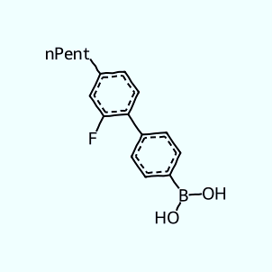 CCCCCc1ccc(-c2ccc(B(O)O)cc2)c(F)c1